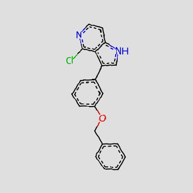 Clc1nccc2[nH]cc(-c3cccc(OCc4ccccc4)c3)c12